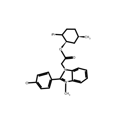 CC(C)C1CC[C@@H](C)C[C@H]1OC(=O)Cn1c(-c2ccc(Cl)cc2)[n+](C)c2ccccc21